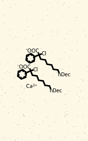 CCCCCCCCCCCCCCCCC(Cl)(C(=O)[O-])c1ccccc1.CCCCCCCCCCCCCCCCC(Cl)(C(=O)[O-])c1ccccc1.[Ca+2]